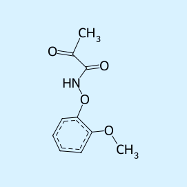 COc1ccccc1ONC(=O)C(C)=O